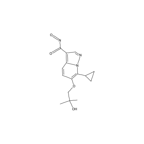 CC(C)(O)COc1ccc2c(C(=O)N=O)cnn2c1C1CC1